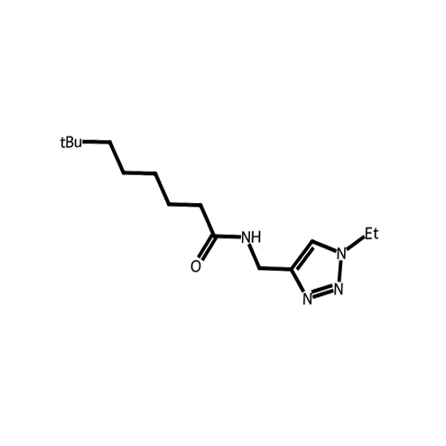 CCn1cc(CNC(=O)CCCCCC(C)(C)C)nn1